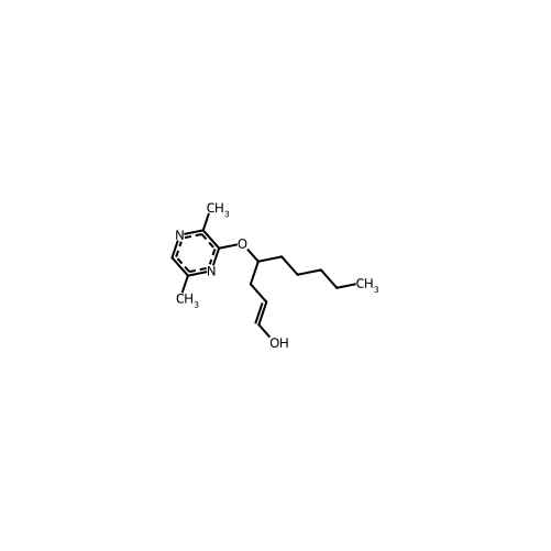 CCCCCC(CC=CO)Oc1nc(C)cnc1C